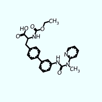 CCOC(=O)NC(Cc1ccc(-c2cccc(NC(=O)N(C)c3ccccn3)c2)cc1)C(=O)O